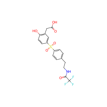 O=C(O)Cc1cc(S(=O)(=O)c2ccc(CCNC(=O)C(F)(F)F)cc2)ccc1O